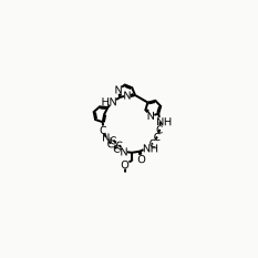 COCC1C(=O)NCCCNc2ccc(cn2)-c2ccnc(n2)Nc2cccc(c2)CN2CCN1CC2